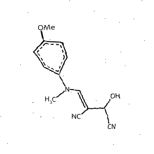 COc1ccc(N(C)/C=C(\C#N)C(O)C#N)cc1